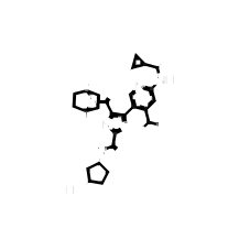 O=C(N[C@@H]1CC[C@@H](O)C1)c1nc(C(=O)N2[C@H]3CC[C@H]2CC3)c(-c2cnc(N[C@@H](C3CC3)C(F)(F)F)cc2C(F)F)s1